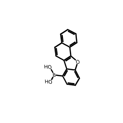 OB(O)c1cccc2oc3c4ccccc4ccc3c12